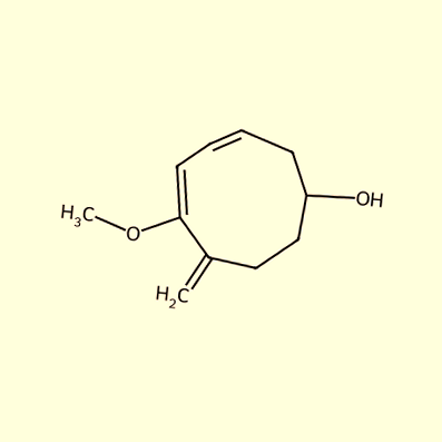 C=C1CCC(O)C/C=C\C=C/1OC